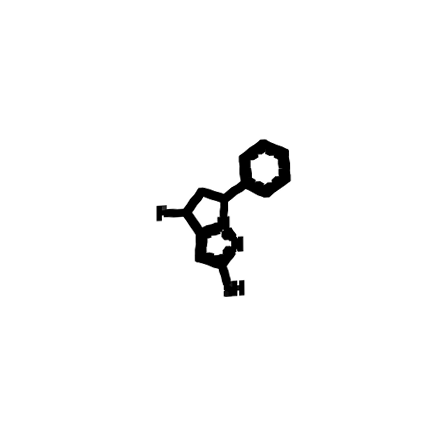 FC1CC(c2ccccc2)n2nc(S)cc21